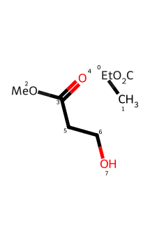 CCOC(C)=O.COC(=O)CCO